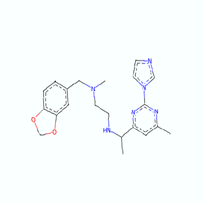 Cc1cc(C(C)NCCN(C)Cc2ccc3c(c2)OCO3)nc(-n2ccnc2)n1